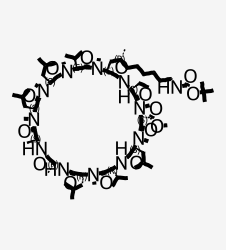 CC[C@@H]1NC(=O)[C@H](C[C@H](C)CCCCCCNC(=O)OC(C)(C)C)N(C)C(=O)[C@H](C(C)C)N(C)C(=O)[C@H](CC(C)C)N(C)C(=O)[C@H](CC(C)C)N(C)C(=O)[C@H](C)NC(=O)[C@@H](C)NC(=O)[C@@H](CC(C)C)N(C)C(=O)[C@@H](C(C)C)NC(=O)[C@H](CC(C)C)N(C)C(=O)[C@@H](C(=O)OC)N(C)C1=O